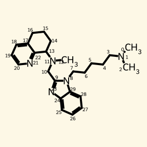 CN(C)CCCCCn1c(CN(C)C2CCCc3cccnc32)nc2ccccc21